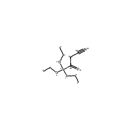 CCO[Si](OCC)(OCC)C(=O)CC#N